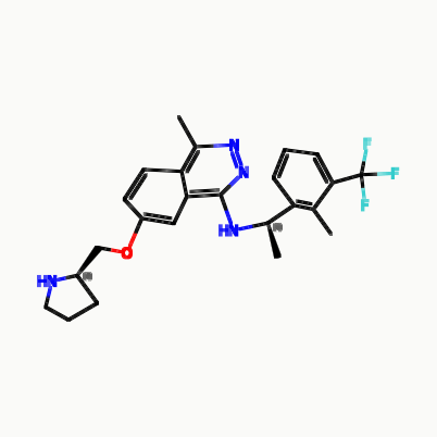 Cc1c([C@@H](C)Nc2nnc(C)c3ccc(OC[C@H]4CCCN4)cc23)cccc1C(F)(F)F